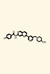 O=C(Nc1cc2nc(-c3cncc(CN4CCC(O)CC4)c3)ccc2cn1)c1ccc(F)cc1